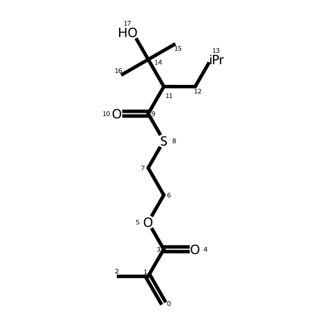 C=C(C)C(=O)OCCSC(=O)C(CC(C)C)C(C)(C)O